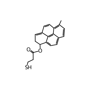 Cc1ccc2ccc3c4c(ccc1c24)=CCC3OC(=O)CCS